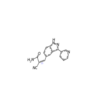 N#C/C(=C/c1ccc2[nH]nc(-c3cccnc3)c2c1)C(N)=O